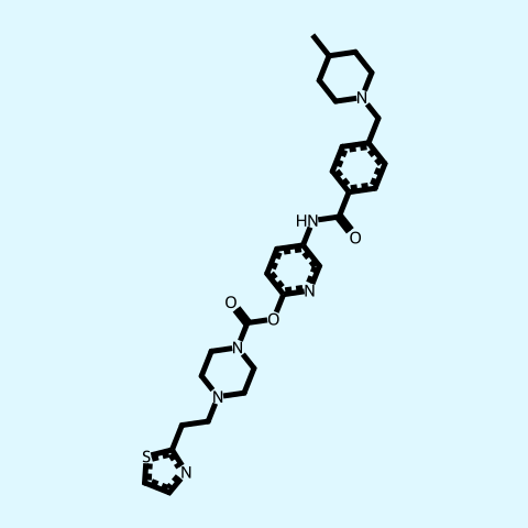 CC1CCN(Cc2ccc(C(=O)Nc3ccc(OC(=O)N4CCN(CCc5nccs5)CC4)nc3)cc2)CC1